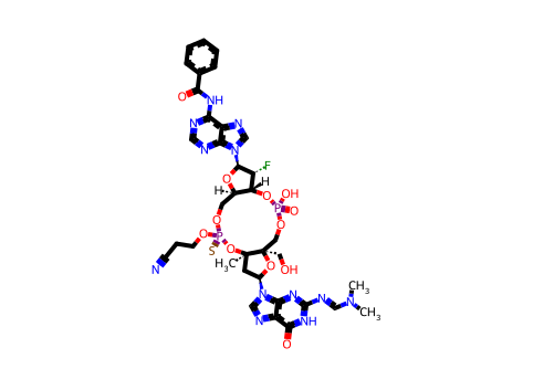 CN(C)/C=N/c1nc2c(ncn2[C@H]2C[C@@]3(C)OP(=S)(OCCC#N)OC[C@H]4O[C@@H](n5cnc6c(NC(=O)c7ccccc7)ncnc65)[C@H](F)[C@@H]4OP(=O)(O)OC[C@@]3(CO)O2)c(=O)[nH]1